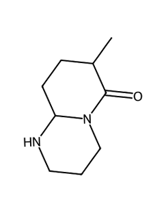 CC1CCC2NCCCN2C1=O